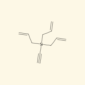 [C]#C[Si](CC=C)(CC=C)CC=C